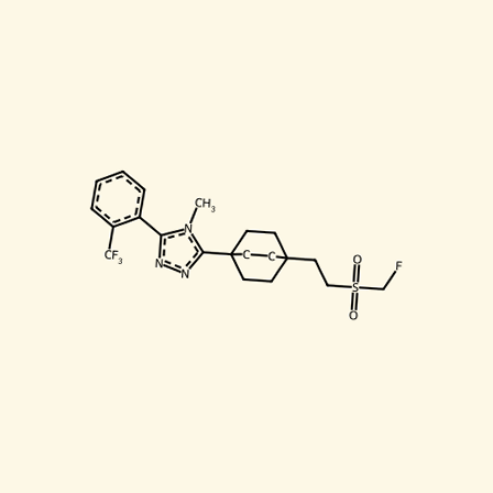 Cn1c(-c2ccccc2C(F)(F)F)nnc1C12CCC(CCS(=O)(=O)CF)(CC1)CC2